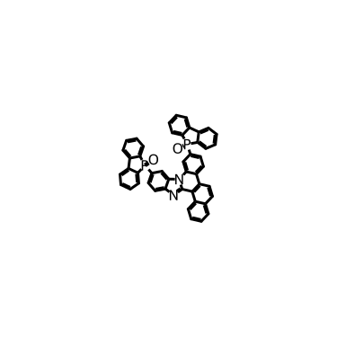 O=P1(c2ccc3nc4c5c6ccccc6ccc5c5ccc(P6(=O)c7ccccc7-c7ccccc76)cc5n4c3c2)c2ccccc2-c2ccccc21